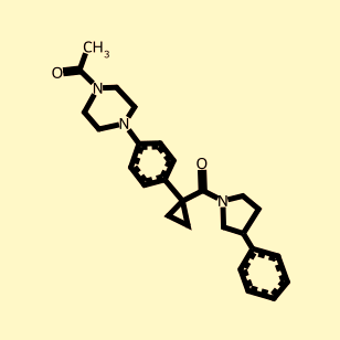 CC(=O)N1CCN(c2ccc(C3(C(=O)N4CCC(c5ccccc5)C4)CC3)cc2)CC1